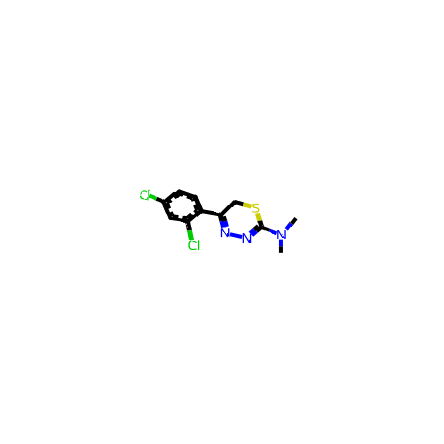 CN(C)C1=NN=C(c2ccc(Cl)cc2Cl)CS1